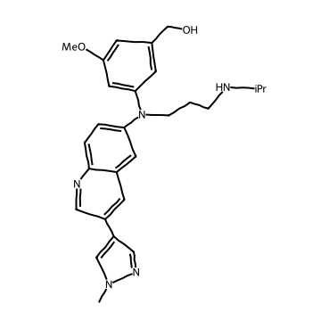 COc1cc(CO)cc(N(CCCNC(C)C)c2ccc3ncc(-c4cnn(C)c4)cc3c2)c1